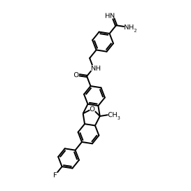 CC12OC(c3cc(C(=O)NCc4ccc(C(=N)N)cc4)ccc31)C1C=C(c3ccc(F)cc3)C=CC12